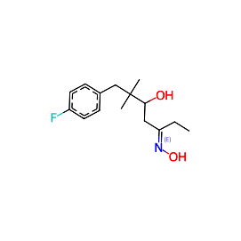 CC/C(CC(O)C(C)(C)Cc1ccc(F)cc1)=N\O